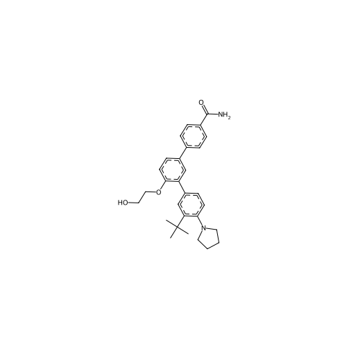 CC(C)(C)c1cc(-c2cc(-c3ccc(C(N)=O)cc3)ccc2OCCO)ccc1N1CCCC1